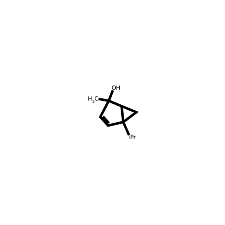 CC(C)C12C=CC(C)(O)C1C2